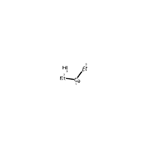 C[CH2][Ga][CH2]C.I